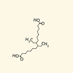 CCC(CCCCCCC(=O)O)C(CC)CCCCCCC(=O)O